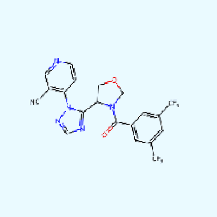 N#Cc1cnccc1-n1ncnc1C1COCN1C(=O)c1cc(C(F)(F)F)cc(C(F)(F)F)c1